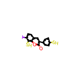 O=c1oc2c(S)c(I)ccc2cc1-c1ccc(S)cc1